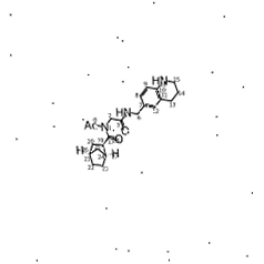 CC(=O)N(CC(=O)NCc1ccc2c(c1)CCCN2)C(=O)[C@@H]1C[C@@H]2CC[C@H]1C2